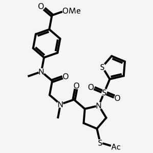 COC(=O)c1ccc(N(C)C(=O)CN(C)C(=O)C2CC(SC(C)=O)CN2S(=O)(=O)c2cccs2)cc1